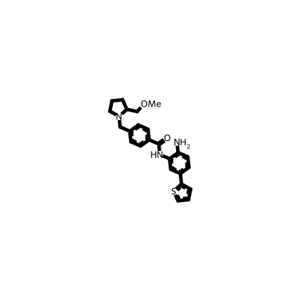 COCC1CCCN1Cc1ccc(C(=O)Nc2cc(-c3cccs3)ccc2N)cc1